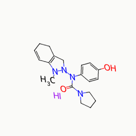 CN1C2=C(CCC=C2)CN1N(C(=O)N1CCCC1)c1ccc(O)cc1.I